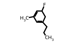 CCCC1=CC(C)=CC(F)C1